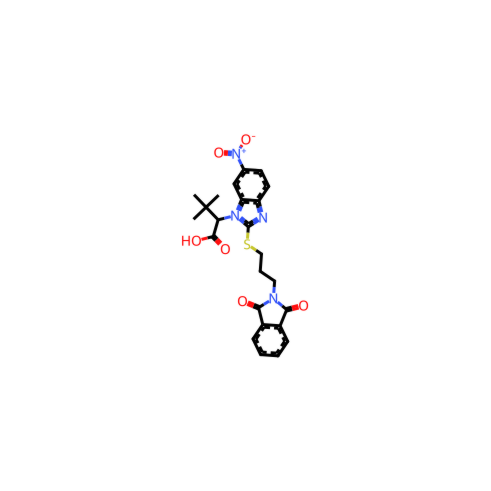 CC(C)(C)C(C(=O)O)n1c(SCCCN2C(=O)c3ccccc3C2=O)nc2ccc([N+](=O)[O-])cc21